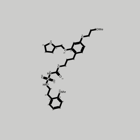 COCCOc1ccc(CCCOC(=O)NS(=O)(=O)NCCc2ccccc2OC)c(OCC2CCCO2)c1